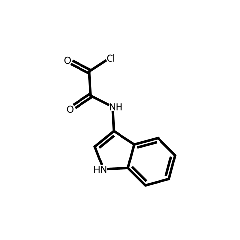 O=C(Cl)C(=O)Nc1c[nH]c2ccccc12